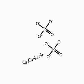 O=P([O-])([O-])[O-].O=P([O-])([O-])[O-].[Ar].[Ca+2].[Ca+2].[Ca+2]